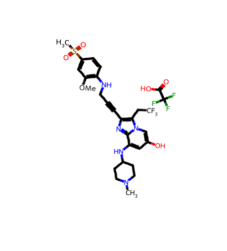 COc1cc(S(C)(=O)=O)ccc1NCC#Cc1nc2c(NC3CCN(C)CC3)cc(O)cn2c1CC(F)(F)F.O=C(O)C(F)(F)F